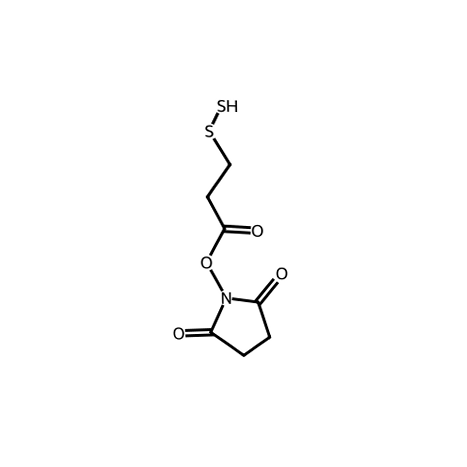 O=C(CCSS)ON1C(=O)CCC1=O